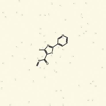 C=NC(=O)c1sc(-c2cccnc2)nc1C